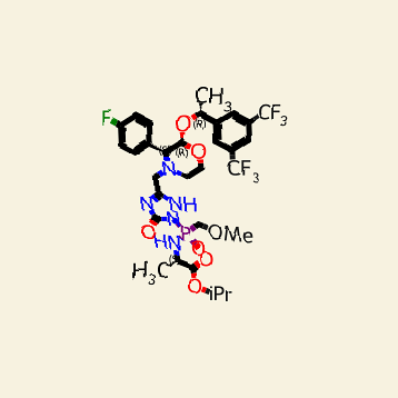 COCP(=O)(N[C@@H](C)C(=O)OC(C)C)n1[nH]c(CN2CCO[C@H](O[C@H](C)c3cc(C(F)(F)F)cc(C(F)(F)F)c3)[C@@H]2c2ccc(F)cc2)nc1=O